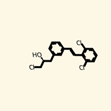 O[C@H](CCl)Cc1cccc(C=Cc2c(Cl)cccc2Cl)c1